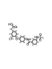 CS(=O)(=O)Nc1cccc(C(=O)Nc2ccc(Oc3ccc(CC(=O)O)cc3Cl)cc2)c1